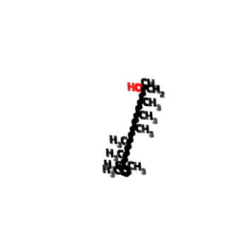 C=C(C)[C@H](O)CC/C(C)=C/C=C/C(C)=C/C=C/C(C)=C/C=C/C=C(C)/C=C/C=C(C)/C=C/C1=C(C)CCCC1(C)C